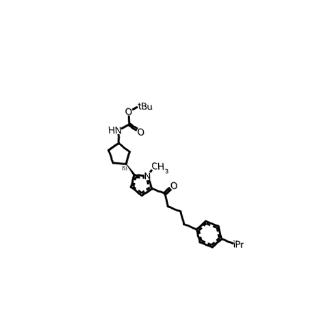 CC(C)c1ccc(CCCC(=O)c2ccc([C@H]3CCC(NC(=O)OC(C)(C)C)C3)n2C)cc1